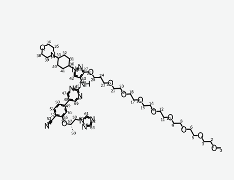 COCCOCCOCCOCCOCCOCCOCCOCCCOc1nn(C2CCC(N3CCOCC3)CC2)cc1Nc1ncc(-c2ccc(C#N)c(O[C@@H](C)Cn3cncn3)c2)cn1